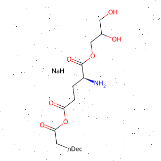 CCCCCCCCCCCC(=O)OC(=O)CC[C@H](N)C(=O)OCC(O)CO.[NaH]